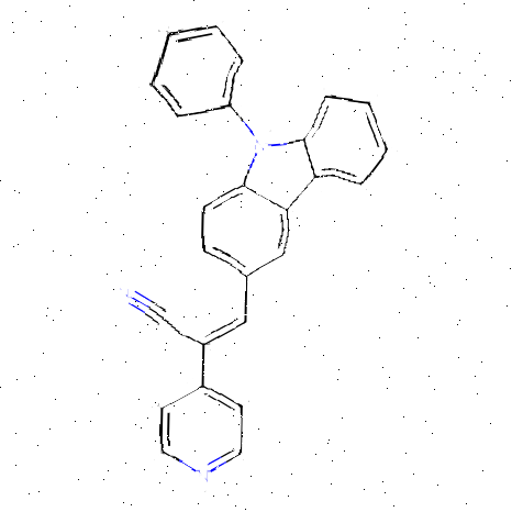 N#C/C(=C\c1ccc2c(c1)c1ccccc1n2-c1ccccc1)c1ccncc1